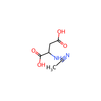 CC#N.NC(CC(=O)O)C(=O)O